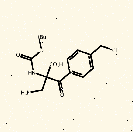 CC(C)(C)OC(=O)NC(CN)(C(=O)O)C(=O)c1ccc(CCl)cc1